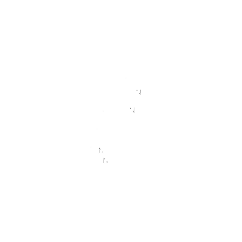 c1ccc(-c2cc(-c3ccc4cc(-c5ccccc5)n5nc(-c6ccccc6)cc5c4c3)nc(-c3ccccc3)n2)cc1